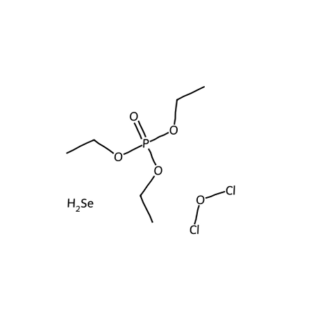 CCOP(=O)(OCC)OCC.ClOCl.[SeH2]